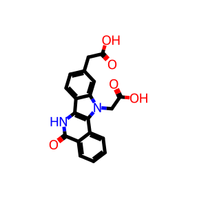 O=C(O)Cc1ccc2c3[nH]c(=O)c4ccccc4c3n(CC(=O)O)c2c1